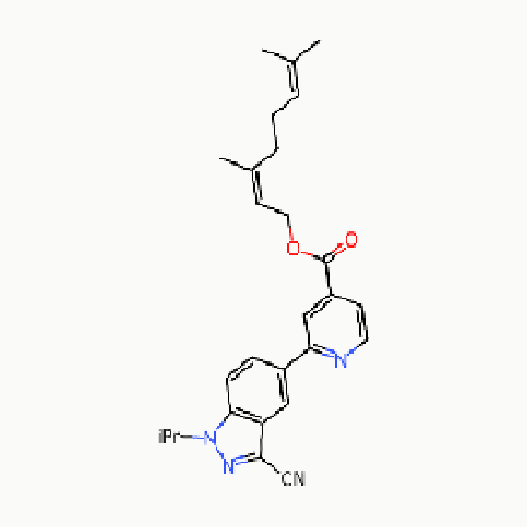 CC(C)=CCCC(C)=CCOC(=O)c1ccnc(-c2ccc3c(c2)c(C#N)nn3C(C)C)c1